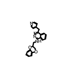 c1ccc2c(c1)OCC(CNc1nnc(Cc3ccncc3)c3ccccc13)O2